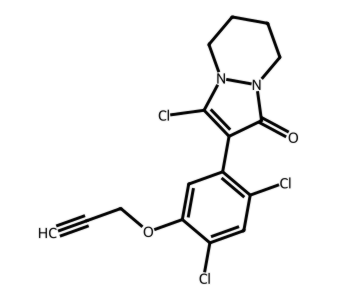 C#CCOc1cc(-c2c(Cl)n3n(c2=O)CCCC3)c(Cl)cc1Cl